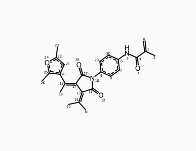 C=C(C)C(=O)Nc1ccc(N2C(=O)C(=C(C)C)C(=C(C)c3cc(C)oc3C)C2=O)cc1